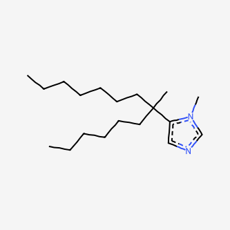 CCCCCCCC(C)(CCCCCC)c1cncn1C